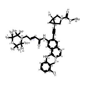 [2H]C1([2H])OC([2H])([2H])C([2H])([2H])N(C/C=C/C(=O)Nc2cc3c(Nc4cccc(Cl)c4F)ncnc3cc2C#C[C@@]23C[C@@H]2CN(C(=O)OC(C)(C)C)C3)C1([2H])[2H]